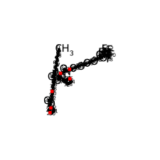 CCCCCCCCCCCN(C(=O)CCCCCCCCCC(=O)OCc1ccccc1)[C@@H](CCC(=O)NCCOCCOCCOCCOCCC(=O)Oc1c(F)c(F)c(F)c(F)c1F)C(=O)OCc1ccccc1